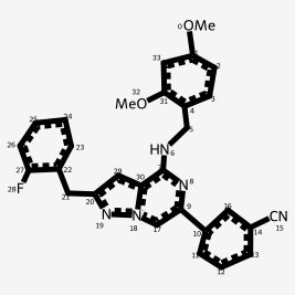 COc1ccc(CNc2nc(-c3cccc(C#N)c3)cn3nc(Cc4ccccc4F)cc23)c(OC)c1